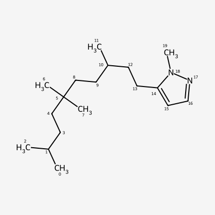 CC(C)CCC(C)(C)CCC(C)CCc1ccnn1C